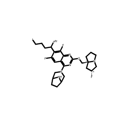 CCCC(CCCI)c1c(F)cc2c(N3CC4CCC(C3)N4)nc(OC[C@@]34CCCN3C[C@H](F)C4)nc2c1F